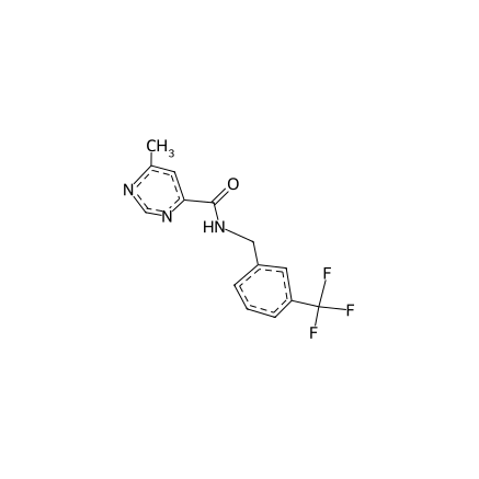 Cc1cc(C(=O)NCc2cccc(C(F)(F)F)c2)ncn1